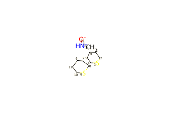 C1CCSCC1.C1CCSCC1.C=[NH+][O-]